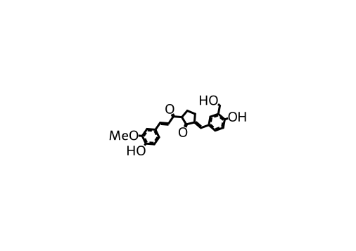 COc1cc(/C=C/C(=O)C2CC/C(=C\c3ccc(O)c(CO)c3)C2=O)ccc1O